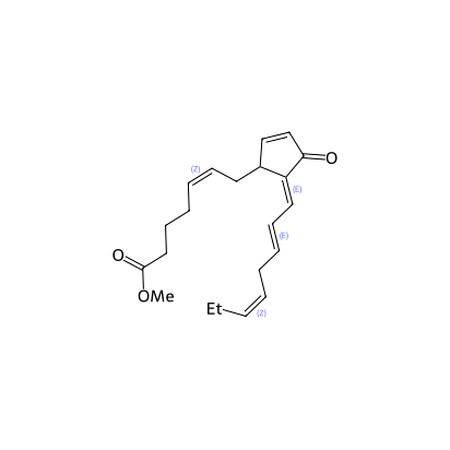 CC/C=C\C/C=C/C=C1/C(=O)C=CC1C/C=C\CCCC(=O)OC